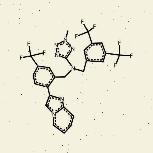 Cn1nnc(N(Cc2cc(C(F)(F)F)cc(C(F)(F)F)c2)Cc2cc(C(F)(F)F)ccc2-c2cn3ccccc3n2)n1